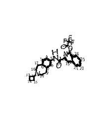 O=C(Nc1ccc2c(c1)CCN(C1CCC1)CC2)c1cc2ccccc2c(OC(=O)C(F)(F)F)n1